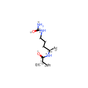 CC[C@H](C(=O)N[C@@H](CCCNC(N)=O)C(C)=O)C(C)C